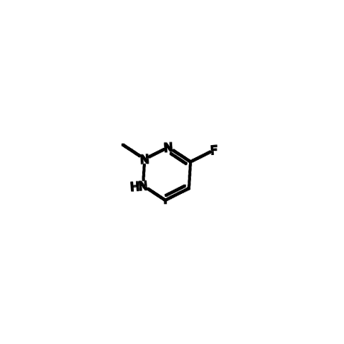 CN1N=C(F)C=[C]N1